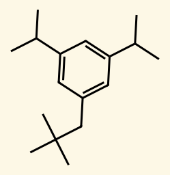 CC(C)c1cc(CC(C)(C)C)cc(C(C)C)c1